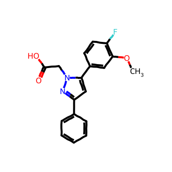 COc1cc(-c2cc(-c3ccccc3)nn2CC(=O)O)ccc1F